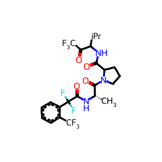 CC(C)C(NC(=O)C1CCCN1C(=O)[C@H](C)NC(=O)C(F)(F)c1ccccc1C(F)(F)F)C(=O)C(F)(F)F